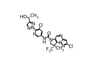 C[C@@H](O)c1cnn(-c2ncc(NC(=O)N3C[C@@](C)(C(F)(F)F)c4c3cnc3cc(Cl)nn43)cc2Cl)n1